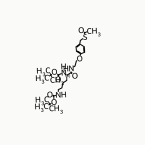 CC(=O)SCc1ccc(OCCNC(=O)[C@@H](CCCCNC(=O)OC(C)(C)C)NC(=O)OC(C)(C)C)cc1